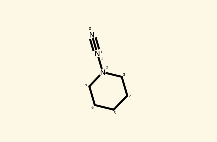 N#[N+]N1CCCCC1